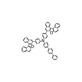 c1ccc(-c2ccc(-c3ccc(N(c4ccc(-c5cc6ccccc6c6c5oc5ccc7ccccc7c56)cc4)c4ccc(-c5cc6ccccc6c6c5oc5ccc7ccccc7c56)cc4)cc3)cc2)cc1